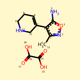 Cc1noc(N)c1C1=CCCNC1.O=C(O)C(=O)O